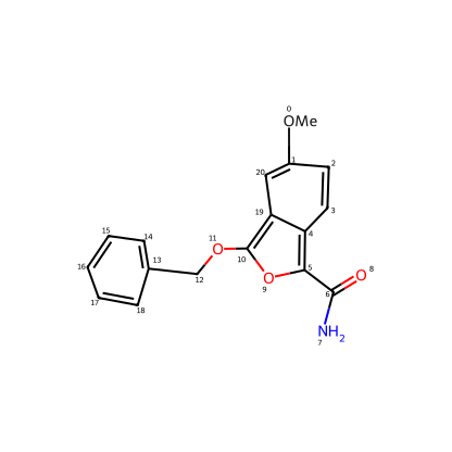 COc1ccc2c(C(N)=O)oc(OCc3ccccc3)c2c1